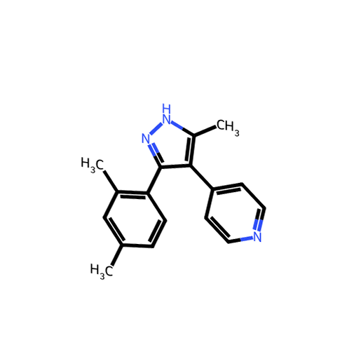 Cc1ccc(-c2n[nH]c(C)c2-c2ccncc2)c(C)c1